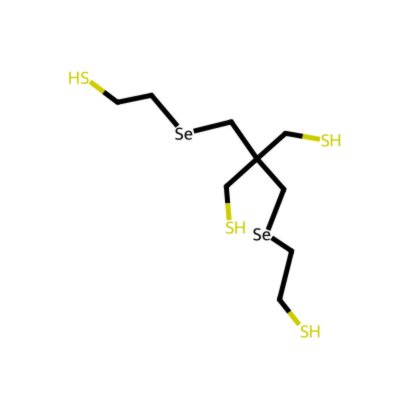 SCC[Se]CC(CS)(CS)C[Se]CCS